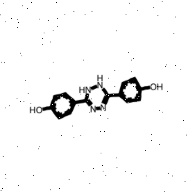 Oc1ccc(C2=NN=C(c3ccc(O)cc3)NN2)cc1